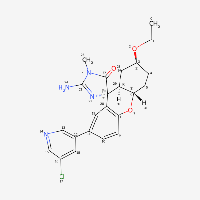 CCO[C@H]1CC[C@@H]2Oc3ccc(-c4cncc(Cl)c4)cc3[C@]3(N=C(N)N(C)C3=O)[C@H]2C1